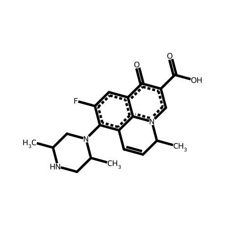 CC1CN(c2c(F)cc3c(=O)c(C(=O)O)cn4c3c2C=CC4C)C(C)CN1